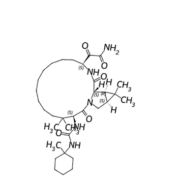 CC1(NC(=O)N[C@@H]2C(=O)N3C[C@H]4[C@@H]([C@H]3C(=O)N[C@H](C(=O)C(N)=O)CCCCCCCCCC2(C)C)C4(C)C)CCCCC1